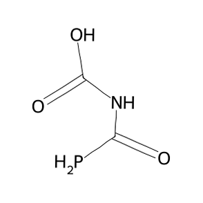 O=C(O)NC(=O)P